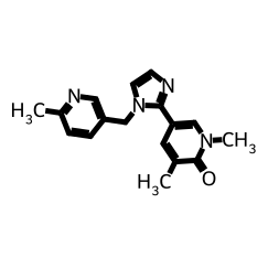 Cc1ccc(Cn2ccnc2-c2cc(C)c(=O)n(C)c2)cn1